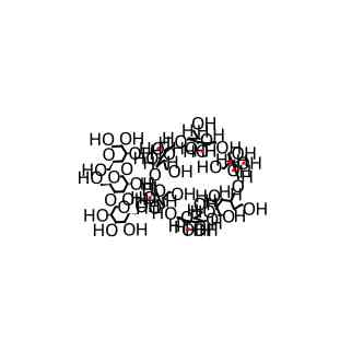 OC[C@H]1OC(O[C@H]2[C@H](O)[C@@H](O)C(O[C@H]3[C@H](O)[C@@H](O)[C@@H](O)O[C@@H]3CO)O[C@@H]2CO)[C@H](O)[C@@H](O)[C@@H]1O.OC[C@H]1O[C@@H]2O[C@H]3[C@H](O)[C@@H](O)[C@@H](O[C@H]4[C@H](O)[C@@H](O)[C@@H](O[C@H]5[C@H](O)[C@@H](O)[C@@H](O[C@H]6[C@H](O)[C@@H](O)[C@@H](O[C@H]7[C@H](O)[C@@H](O)[C@@H](O[C@H]1[C@H](O)[C@H]2O)O[C@@H]7CO)O[C@@H]6CO)O[C@@H]5CO)O[C@@H]4CO)O[C@@H]3CO